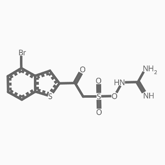 N=C(N)NOS(=O)(=O)CC(=O)c1cc2c(Br)cccc2s1